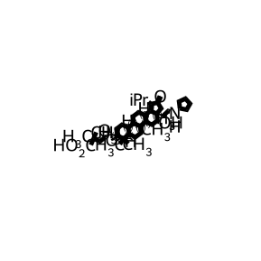 CC(C)C1=C2[C@H]3CC[C@@H]4[C@@]5(C)CC[C@H](OC(=O)CC(C)(C)C(=O)O)C(C)(C)[C@@H]5CC[C@@]4(C)[C@]3(C)CC[C@@]2(C(O)CNC2CCCC2)CC1=O